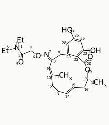 CCN(CC)C(=O)CO/N=C1\C=C(/C)CC/C=C/C[C@@H](C)OC(=O)c2c(O)cc(O)cc2C1